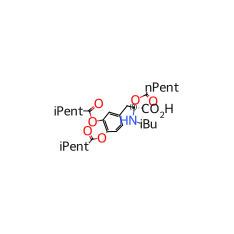 CCCCCC(=O)O[C@](Cc1ccc(OC(=O)C(C)CCC)c(OC(=O)C(C)CCC)c1)(NC(C)CC)C(=O)O